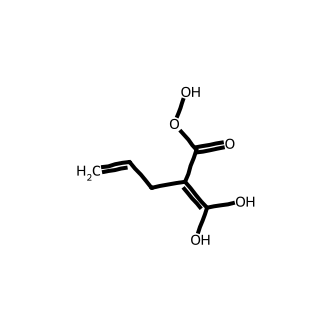 C=CCC(C(=O)OO)=C(O)O